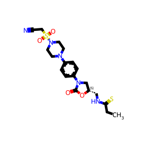 CCC(=S)NC[C@H]1CN(c2ccc(N3CCN(S(=O)(=O)CC#N)CC3)cc2)C(=O)O1